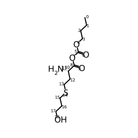 CCCCOC(=O)OC(=O)[C@@H](N)CCSCCCO